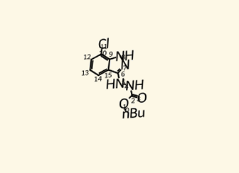 CCCCOC(=O)NNc1n[nH]c2c(Cl)cccc12